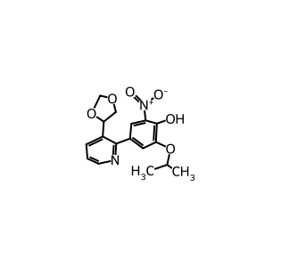 CC(C)Oc1cc(-c2ncccc2C2COCO2)cc([N+](=O)[O-])c1O